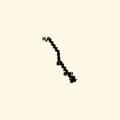 CCCCCCCCCCC#CC#CCCCCCCCCC(=O)NCCOS(=O)(=O)[O-].[Na+]